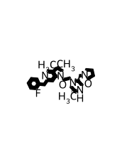 C[C@@H]1CN(CC(=O)N2CC(C)(C)c3cnc(Cc4ccccc4F)cc32)[C@@H](CN2CCCC2=O)CN1